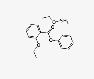 CCO[SiH3].CCOc1ccccc1C(=O)Oc1ccccc1